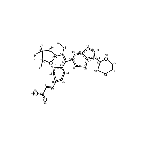 CCC(B1OC(C)(C)C(C)(C)O1)=C(c1ccc(C=CC(=O)O)cc1)c1ccc2c(cnn2C2CCCCO2)c1